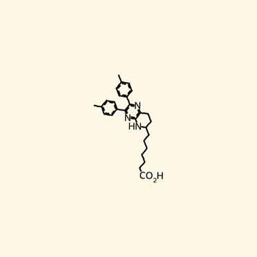 Cc1ccc(-c2nc3c(nc2-c2ccc(C)cc2)NC(CCCCCCC(=O)O)CC3)cc1